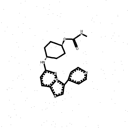 CNC(=O)O[C@H]1CC[C@H](Nc2ccc3ncc(-c4ccncc4)n3n2)CC1